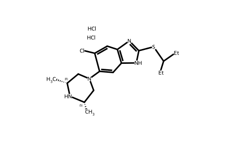 CCC(CC)Sc1nc2cc(Cl)c(N3C[C@@H](C)N[C@@H](C)C3)cc2[nH]1.Cl.Cl